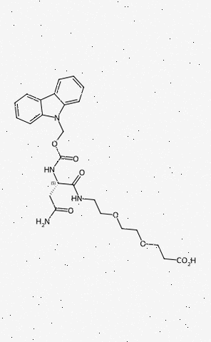 NC(=O)C[C@H](NC(=O)OCn1c2ccccc2c2ccccc21)C(=O)NCCOCCOCCC(=O)O